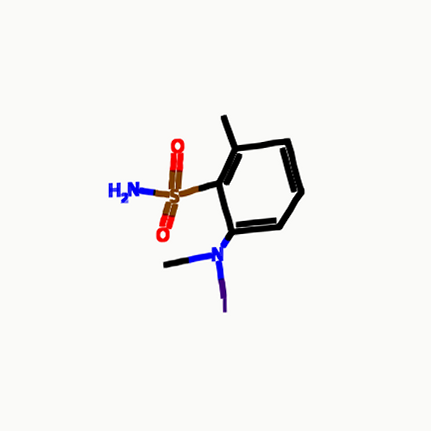 Cc1cccc(N(C)I)c1S(N)(=O)=O